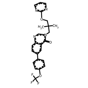 CC(C)(COc1ncccn1)Cn1cnc2ccc(-c3ccc(OC(F)(F)F)cc3)cc2c1=O